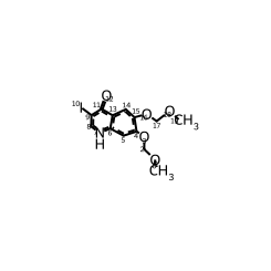 COCOc1cc2[nH]cc(I)c(=O)c2cc1OCOC